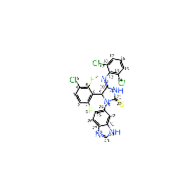 Fc1ccc(Cl)c(F)c1C1C(=Nc2c(Cl)cccc2Cl)NC(=S)N1c1ccc2nc[nH]c2c1